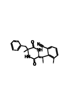 CC(=C1NC(=O)C(C)(Cc2ccccc2)NC1=O)c1c(C)cccc1C#N